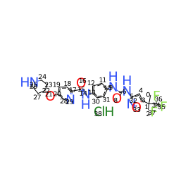 CC(C)(c1cc(NC(=O)Nc2ccc(NC(=O)c3ccc(OC4CCNCC4)cn3)cc2)no1)C(F)(F)F.Cl